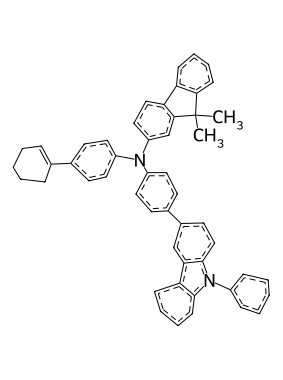 CC1(C)c2ccccc2-c2ccc(N(c3ccc(C4=CCCCC4)cc3)c3ccc(-c4ccc5c(c4)c4ccccc4n5-c4ccccc4)cc3)cc21